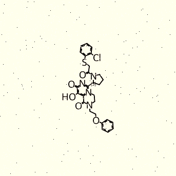 O=C1c2c(O)c(=O)nc([C@@H]3CCCN3C(=O)CSc3ccccc3Cl)n2CCN1CCOc1ccccc1